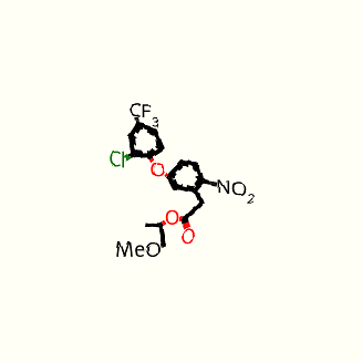 COCC(C)OC(=O)Cc1cc(Oc2ccc(C(F)(F)F)cc2Cl)ccc1[N+](=O)[O-]